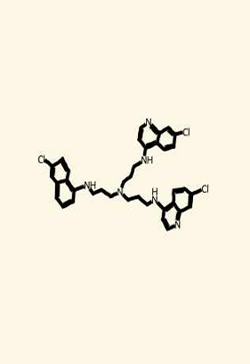 Clc1ccc2c(NCCCN(CCCNc3ccnc4cc(Cl)ccc34)CCCNc3ccnc4cc(Cl)ccc34)cccc2c1